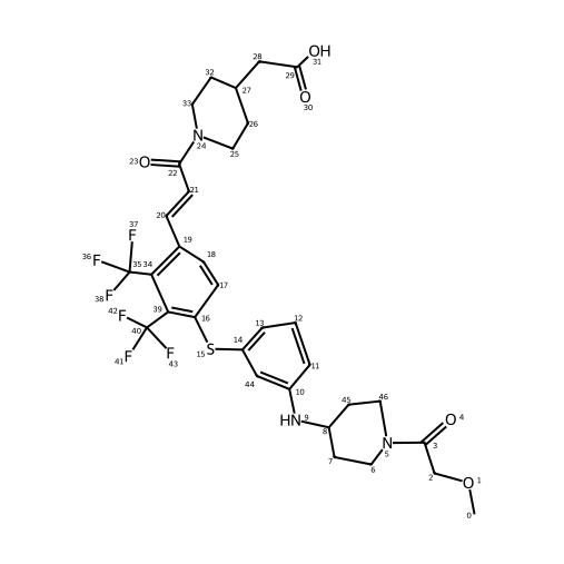 COCC(=O)N1CCC(Nc2cccc(Sc3ccc(C=CC(=O)N4CCC(CC(=O)O)CC4)c(C(F)(F)F)c3C(F)(F)F)c2)CC1